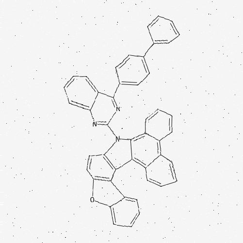 c1ccc(-c2ccc(-c3nc(-n4c5ccc6oc7ccccc7c6c5c5c6ccccc6c6ccccc6c54)nc4ccccc34)cc2)cc1